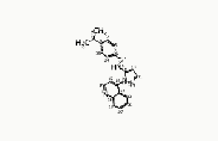 CC(C)c1ccc(SNc2ccnn2-c2ccnc3ccccc23)cc1